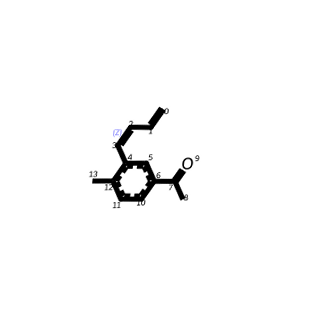 C=C/C=C\c1cc(C(C)=O)ccc1C